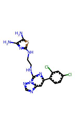 Nc1nc(NCCNc2nc(-c3ccc(Cl)cc3Cl)cc3ncnn23)sc1N